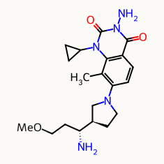 COCC[C@@H](N)[C@@H]1CCN(c2ccc3c(=O)n(N)c(=O)n(C4CC4)c3c2C)C1